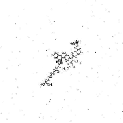 CCCCC(=O)N(Cc1ccc(-c2ccccc2-c2nnn(COC(=O)OCCOCCON(O)O)n2)cc1)[C@H](C(=O)Oc1cccc(CON(O)O)c1)C(C)C